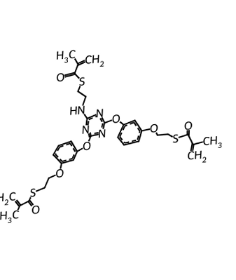 C=C(C)C(=O)SCCNc1nc(Oc2cccc(OCCSC(=O)C(=C)C)c2)nc(Oc2cccc(OCCSC(=O)C(=C)C)c2)n1